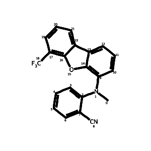 CN(c1ccccc1C#N)c1cccc2c1oc1c(C(F)(F)F)cccc12